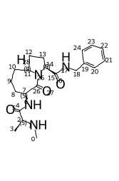 CN[C@@H](C)C(=O)N[C@H]1CCC[C@H]2CC[C@@H](C(=O)NCc3ccccc3)N2C1=O